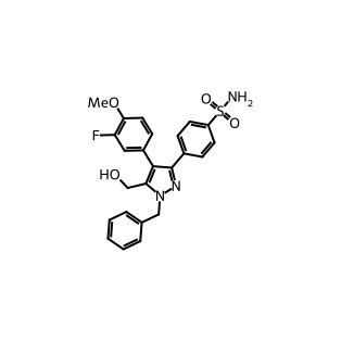 COc1ccc(-c2c(-c3ccc(S(N)(=O)=O)cc3)nn(Cc3ccccc3)c2CO)cc1F